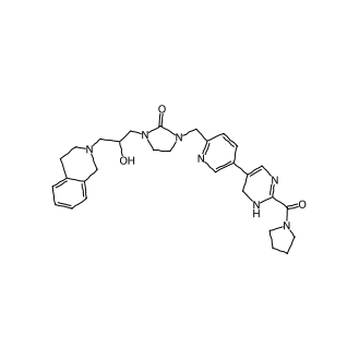 O=C(C1=NC=C(c2ccc(CN3CCN(CC(O)CN4CCc5ccccc5C4)C3=O)nc2)CN1)N1CCCC1